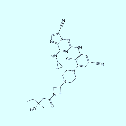 CCC(C)(O)CC(=O)N1CC(N2CCN(c3cc(C#N)cc(Nc4nc(NC5CC5)c5ncc(C#N)n5n4)c3Cl)CC2)C1